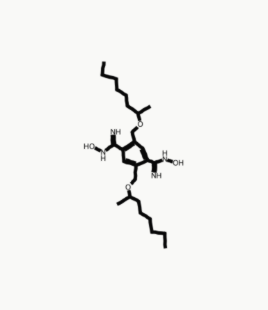 CCCCCCC(C)OCc1cc(C(=N)NO)c(COC(C)CCCCCC)cc1C(=N)NO